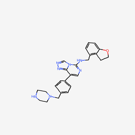 c1cc(CNc2ncc(-c3ccc(CN4CCNCC4)cc3)c3nncn23)c2c(c1)OCC2